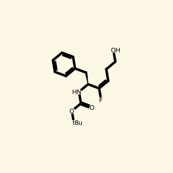 CC(C)(C)OC(=O)N[C@@H](Cc1ccccc1)/C(F)=C\CCO